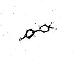 CCc1ccc(C2CCC(F)(F)CC2)cc1